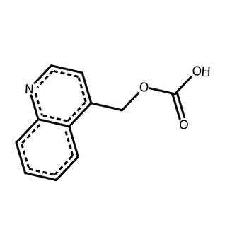 O=C(O)OCc1ccnc2ccccc12